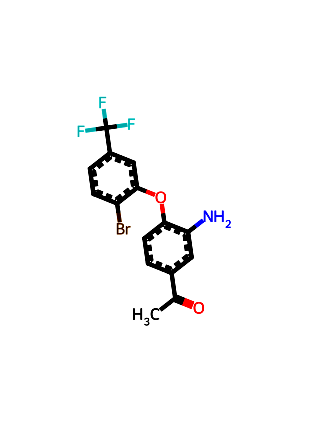 CC(=O)c1ccc(Oc2cc(C(F)(F)F)ccc2Br)c(N)c1